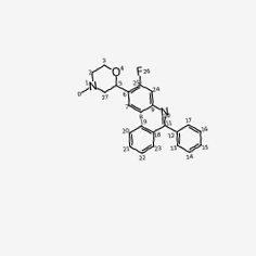 CN1CCOC(c2ccc(N=C(c3ccccc3)c3ccccc3)cc2F)C1